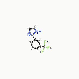 FC(F)(F)c1cccc(-c2ncc[nH]2)c1